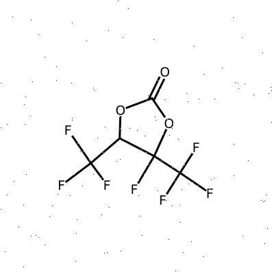 O=C1OC(C(F)(F)F)C(F)(C(F)(F)F)O1